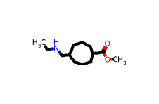 CCNCC1CCCC(C(=O)OC)CCC1